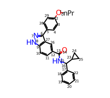 CCCOc1ccc(-c2n[nH]c3ccc(C(=O)NC(c4ccccc4)C4CC4)cc23)cc1